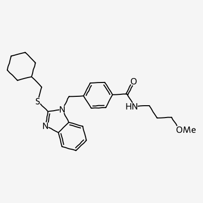 COCCCNC(=O)c1ccc(Cn2c(SCC3CCCCC3)nc3ccccc32)cc1